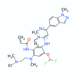 C=CC(=O)Nc1cc(N/C(=C/C(=N\C)c2ccc3c(cnn3C)c2)N=C)c(OC(F)F)cc1N(C)CCN(C)CC